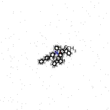 CC1(C)c2ccccc2-c2ccc(-c3ccccc3N(c3ccc(-c4ccc(-c5ccccc5)cc4)cc3)c3cccc(-c4cccc5c4C(C)(C)c4ccccc4-5)c3)cc21